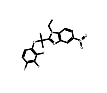 CCn1c(C(C)(C)Oc2ccc(F)c(F)c2F)nc2cc([N+](=O)[O-])ccc21